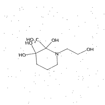 O=C(O)C1(O)N(CCO)CCCC1(O)O